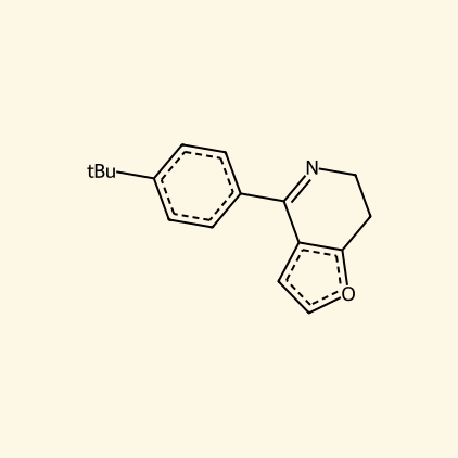 CC(C)(C)c1ccc(C2=NCCc3occc32)cc1